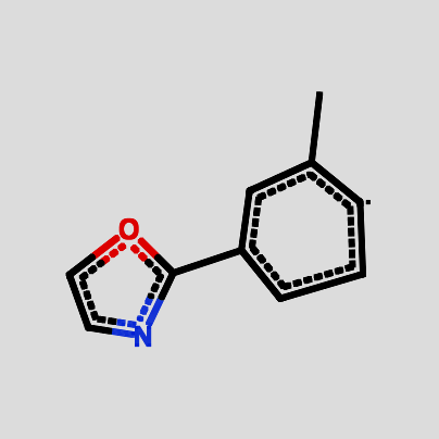 Cc1[c]ccc(-c2ncco2)c1